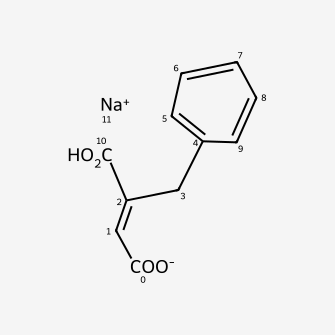 O=C([O-])/C=C(\Cc1ccccc1)C(=O)O.[Na+]